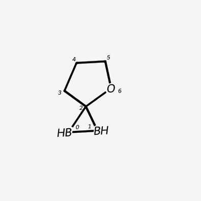 B1BC12CCCO2